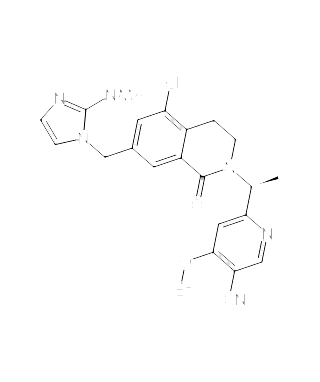 CCOc1cc([C@H](C)N2CCc3c(Cl)cc(Cn4ccnc4NC)cc3C2=O)ncc1C#N